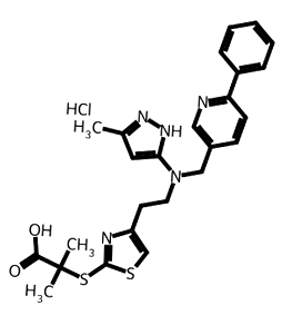 Cc1cc(N(CCc2csc(SC(C)(C)C(=O)O)n2)Cc2ccc(-c3ccccc3)nc2)[nH]n1.Cl